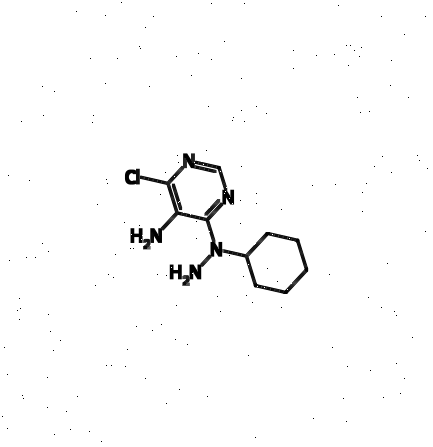 Nc1c(Cl)ncnc1N(N)C1CCCCC1